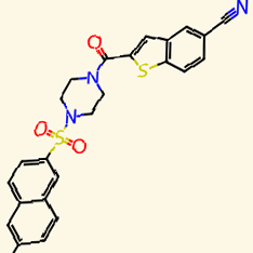 N#Cc1ccc2sc(C(=O)N3CCN(S(=O)(=O)c4ccc5cc(Cl)ccc5c4)CC3)cc2c1